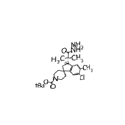 Cc1cc2c(cc1Cl)C1(CCN(C(=O)OC(C)(C)C)CC1)C[C@@H]2C(C)(C)C(=O)NN